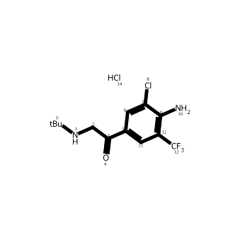 CC(C)(C)NCC(=O)c1cc(Cl)c(N)c(C(F)(F)F)c1.Cl